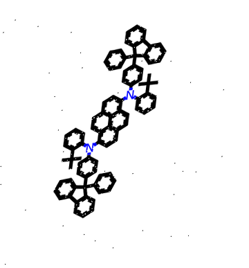 CC(C)(C)c1ccccc1N(c1ccc(C2(c3ccccc3)c3ccccc3-c3ccccc32)cc1)c1ccc2ccc3c(N(c4ccc(C5(c6ccccc6)c6ccccc6-c6ccccc65)cc4)c4ccccc4C(C)(C)C)ccc4ccc1c2c43